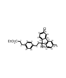 CCOC(=O)CCc1ccc(CCC2(NC(C)=O)c3ccc(C)cc3-c3cc(Cl)ccc32)cc1